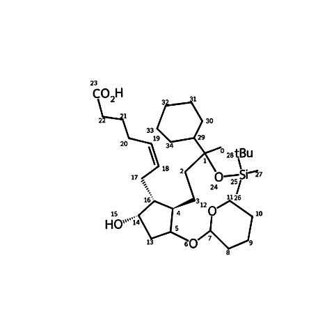 CC(CC[C@H]1C(OC2CCCCO2)C[C@H](O)[C@@H]1C/C=C\CCCC(=O)O)(O[Si](C)(C)C(C)(C)C)C1CCCCC1